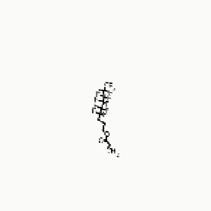 C=CC(=O)OCCCC(F)(F)C(F)(F)C(F)(F)C(F)(F)C(F)(F)C(F)(F)F